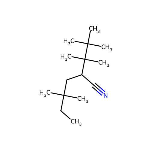 CCC(C)(C)CC(C#N)C(C)(C)C(C)(C)C